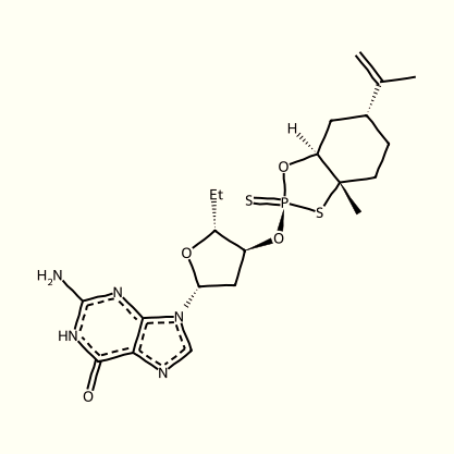 C=C(C)[C@@H]1CC[C@]2(C)S[P@@](=S)(O[C@H]3C[C@H](n4cnc5c(=O)[nH]c(N)nc54)O[C@@H]3CC)O[C@H]2C1